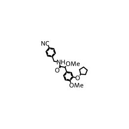 COc1ccc(C(OC)C(=O)NCc2ccc(C#N)cc2)cc1OC1CCCC1